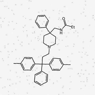 CCC(=O)NCC1(c2ccccc2)CCN(CCC(c2ccccc2)(c2ccc(C)cc2)c2ccc(C)cc2)CC1